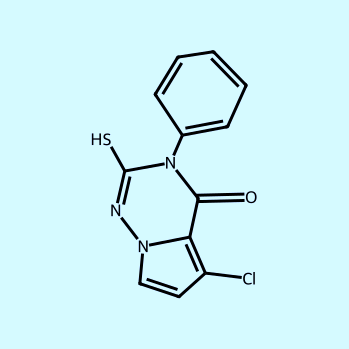 O=c1c2c(Cl)ccn2nc(S)n1-c1ccccc1